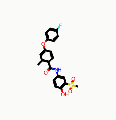 Cc1cc(Oc2ccc(F)cc2)ccc1C(=O)Nc1ccc(O)c(S(C)(=O)=O)c1